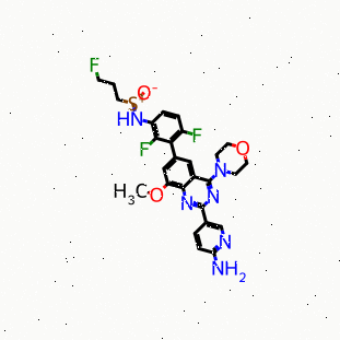 COc1cc(-c2c(F)ccc(N[S+]([O-])CCCF)c2F)cc2c(N3CCOCC3)nc(-c3ccc(N)nc3)nc12